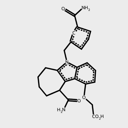 NC(=O)c1cccc(Cn2c3c(c4c(OCC(=O)O)cccc42)C(C(N)=O)CCCC3)c1